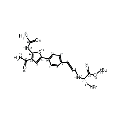 CC(C)C[C@H](NCC=Cc1ccc(-c2cc(C(N)=O)c(NC(N)=O)s2)cc1)C(=O)OC(C)(C)C